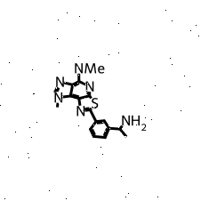 CNc1nc2sc(-c3cccc(C(C)N)c3)nc2c2c1ncn2C